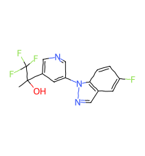 CC(O)(c1cncc(-n2ncc3cc(F)ccc32)c1)C(F)(F)F